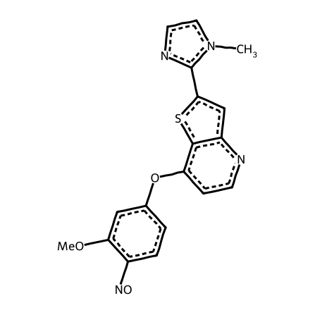 COc1cc(Oc2ccnc3cc(-c4nccn4C)sc23)ccc1N=O